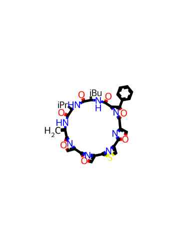 C=C1NC(=O)C(C(C)C)NC(=O)C(C(C)CC)NC(=O)c2nc(oc2-c2ccccc2)-c2coc(n2)-c2csc(n2)-c2coc(n2)-c2coc1n2